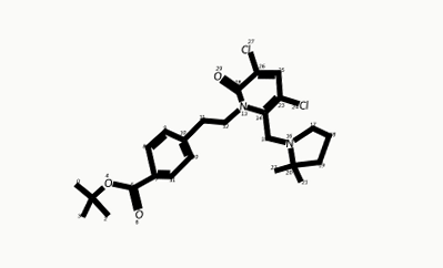 CC(C)(C)OC(=O)c1ccc(CCn2c(CN3CCCC3(C)C)c(Cl)cc(Cl)c2=O)cc1